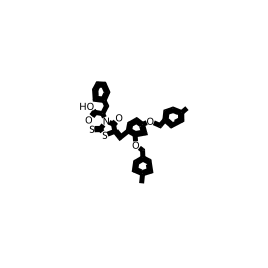 Cc1ccc(COc2ccc(C=C3SC(=S)N(C(Cc4ccccc4)C(=O)O)C3=O)c(OCc3ccc(C)cc3)c2)cc1